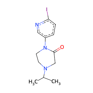 CC(C)N1CCN(c2ccc(I)nc2)C(=O)C1